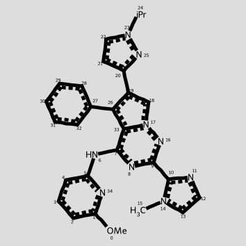 COc1cccc(Nc2nc(-c3nccn3C)nn3cc(-c4ccn(C(C)C)n4)c(-c4ccccc4)c23)n1